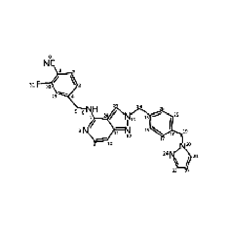 N#Cc1ccc(CNc2nccc3nn(Cc4ccc(Cn5cccn5)cc4)cc23)cc1F